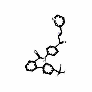 O=C(/C=C/c1cccnc1)c1ccc(NC(=O)c2ccccc2-c2ccc(C(F)(F)F)cc2)cc1